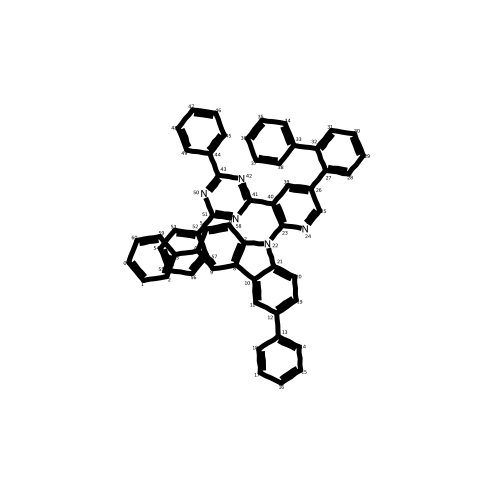 c1ccc(-c2ccc3c(c2)c2cc(-c4ccccc4)ccc2n3-c2ncc(-c3ccccc3-c3ccccc3)cc2-c2nc(-c3ccccc3)nc(-c3ccccc3)n2)cc1